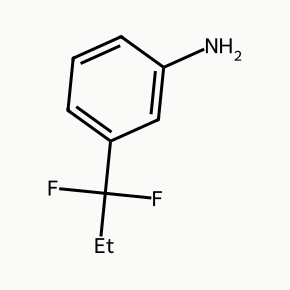 CCC(F)(F)c1cccc(N)c1